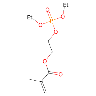 C=C(C)C(=O)OCCOP(=O)(OCC)OCC